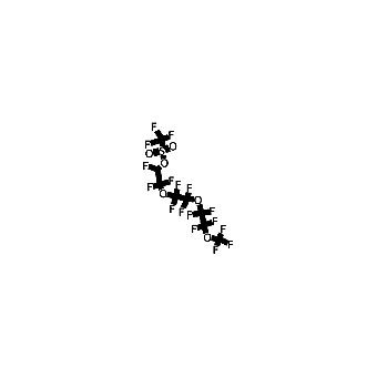 O=S(=O)(OC(F)C(F)(F)OC(F)(F)C(F)(F)OC(F)(F)C(F)(F)OC(F)(F)F)C(F)(F)F